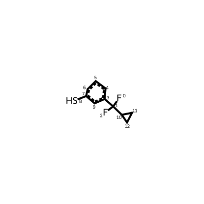 FC(F)(c1cccc(S)c1)C1CC1